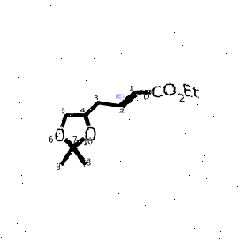 CCOC(=O)/C=C/CC1COC(C)(C)O1